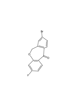 O=C1c2ccc(Br)cc2COc2cc(F)ccc21